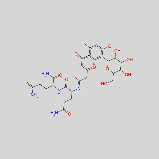 C=C(N)CCC(NC(=O)C(CCC(N)=O)/N=C(\C)Cc1cc(=O)c2c(C)cc(O)c(C3OC(CO)C(O)C(O)C3O)c2o1)C(N)=O